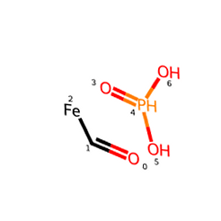 O=[CH][Fe].O=[PH](O)O